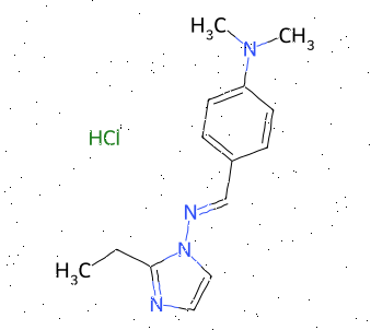 CCc1nccn1N=Cc1ccc(N(C)C)cc1.Cl